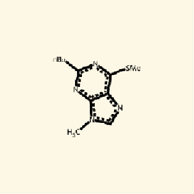 CCCCc1nc(SC)c2ncn(C)c2n1